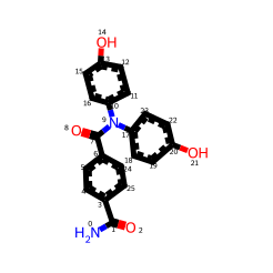 NC(=O)c1ccc(C(=O)N(c2ccc(O)cc2)c2ccc(O)cc2)cc1